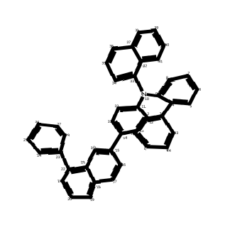 c1ccc(-c2ccccc2N(c2ccc(-c3ccc4cccc(-c5ccccc5)c4c3)cc2)c2cccc3ccccc23)cc1